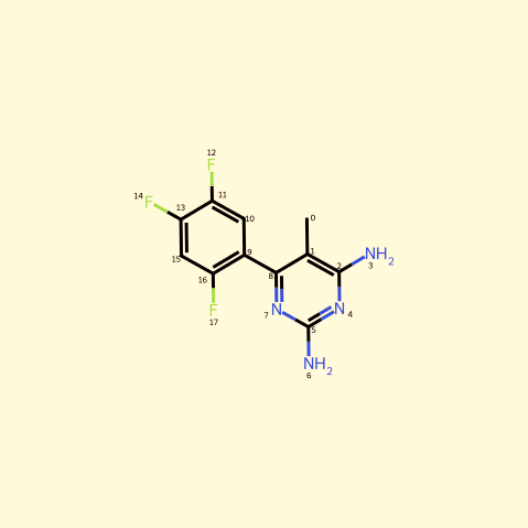 Cc1c(N)nc(N)nc1-c1cc(F)c(F)cc1F